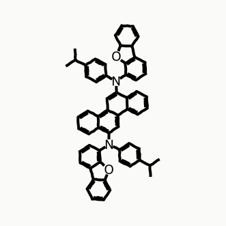 CC(C)c1ccc(N(c2cccc3c2OC2C=CC=CC32)c2cc3c4ccccc4c(N(c4ccc(C(C)C)cc4)c4cccc5c4oc4ccccc45)cc3c3ccccc23)cc1